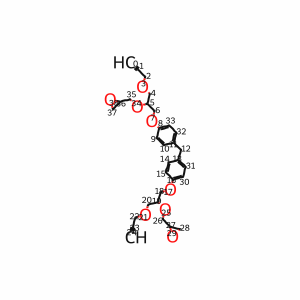 C#CCOCC(COc1ccc(Cc2ccc(OCC(COCC#C)OCC3CO3)cc2)cc1)OCC1CO1